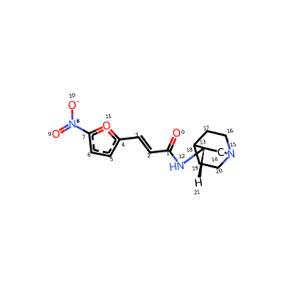 O=C(C=Cc1ccc([N+](=O)[O-])o1)N[C@H]1CN2CCC1CC2